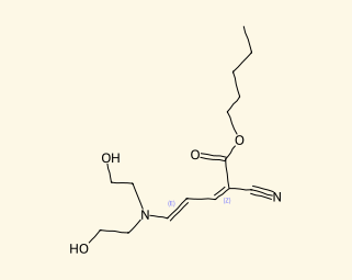 CCCCCOC(=O)/C(C#N)=C\C=C\N(CCO)CCO